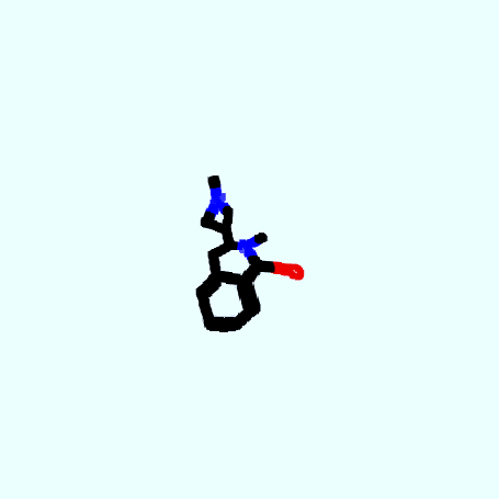 CN1CC(C2Cc3ccccc3C(=O)N2C)C1